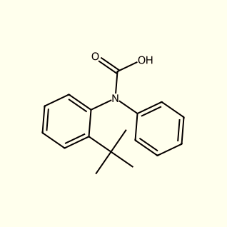 CC(C)(C)c1ccccc1N(C(=O)O)c1ccccc1